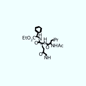 CCOC(=O)C(NC(=O)[C@H](CCC(=O)C=N)NC(=O)[C@H](CC(C)C)NC(C)=O)c1ccccc1